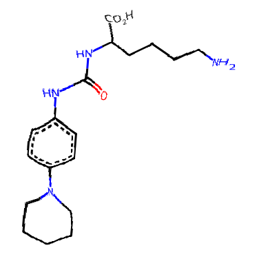 NCCCCC(NC(=O)Nc1ccc(N2CCCCC2)cc1)C(=O)O